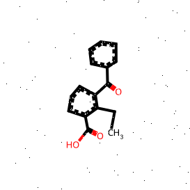 CCc1c(C(=O)O)cccc1C(=O)c1ccccc1